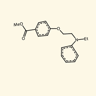 CCN(CCOc1ccc(C(=O)OC)cc1)c1ccccc1